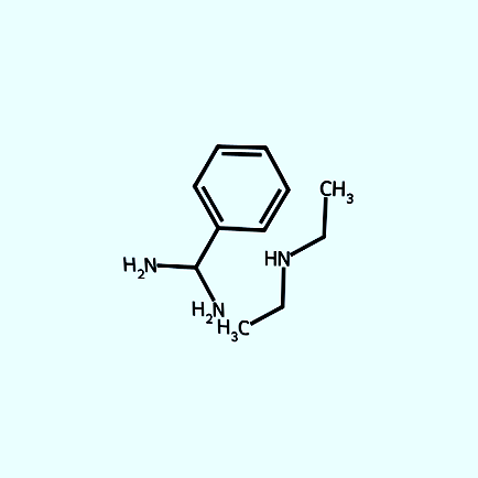 CCNCC.NC(N)c1ccccc1